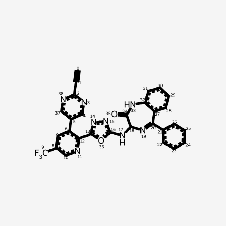 C#Cc1ncc(-c2cc(C(F)(F)F)cnc2-c2nnc(NC3N=C(c4ccccc4)c4ccccc4NC3=O)o2)cn1